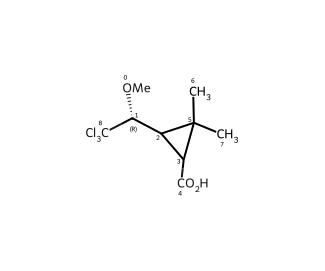 CO[C@H](C1C(C(=O)O)C1(C)C)C(Cl)(Cl)Cl